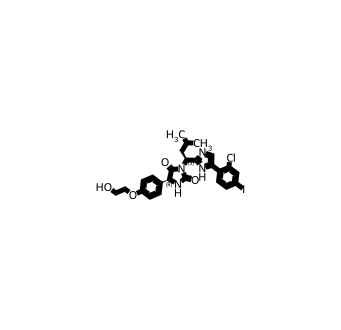 CC(C)C[C@@H](c1ncc(-c2ccc(I)cc2Cl)[nH]1)N1C(=O)N[C@H](c2ccc(OCCO)cc2)C1=O